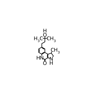 CC1CNc2c1c1cc(CCC(C)(C)O)ccc1[nH]c2=O